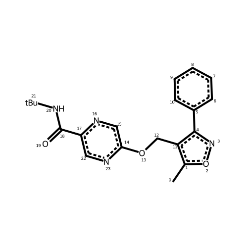 Cc1onc(-c2ccccc2)c1COc1cnc(C(=O)NC(C)(C)C)cn1